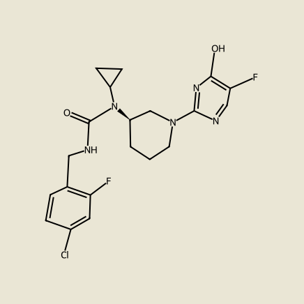 O=C(NCc1ccc(Cl)cc1F)N(C1CC1)[C@@H]1CCCN(c2ncc(F)c(O)n2)C1